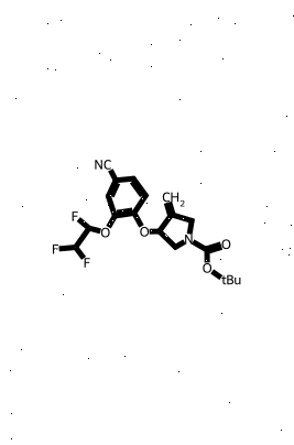 C=C1CN(C(=O)OC(C)(C)C)CC1Oc1ccc(C#N)cc1OC(F)C(F)F